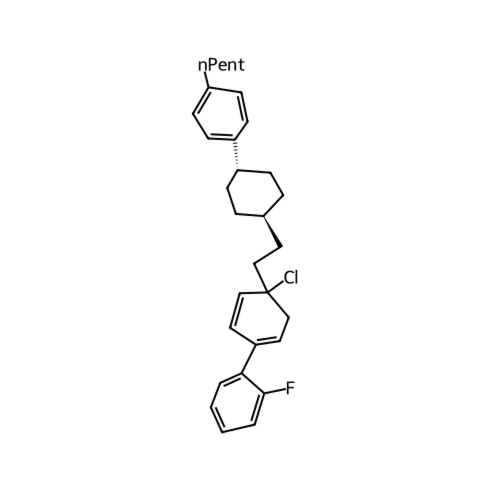 CCCCCc1ccc([C@H]2CC[C@H](CCC3(Cl)C=CC(c4ccccc4F)=CC3)CC2)cc1